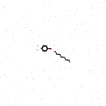 CCCCCCCCOC(=O)c1ccc(B(O)O)cc1F